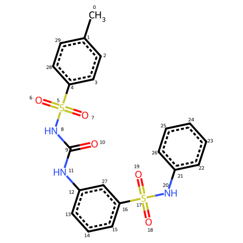 Cc1ccc(S(=O)(=O)NC(=O)Nc2cccc(S(=O)(=O)Nc3ccccc3)c2)cc1